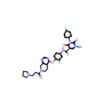 CC(C)n1cc(C(=O)Nc2ccc(Oc3ncnc4c3CCN(C(=O)CCN3CCCC3)C4)c(F)c2)c(=O)n(-c2ccc(F)cc2)c1=O